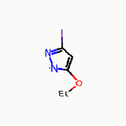 CCOC1=CC(I)=N[N]1